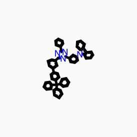 c1ccc(-c2nc(-c3cccc(-c4ccc(C(c5ccccc5)(c5ccccc5)c5ccccc5)cc4)c3)nc(-c3cccc(-n4c5ccccc5c5ccccc54)c3)n2)cc1